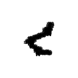 c1ccc(-c2nc(-c3cccc(-c4ccc5c(c4)-c4ccc(-c6cncc(-c7ccc8cc(-c9ccc%10ccccc%10c9)ccc8c7)c6)c6c4c-5cc4ccccc46)c3)nc(-c3ccc4c5c(cc6ccccc6c35)-c3ccc(-c5ccc6cc(-c7ccc8cc(-c9cncc(-c%10ccc%11c%12c(cc%13ccccc%13c%10%12)-c%10cc%12ccccc%12cc%10-%11)c9)ccc8c7)ccc6c5)cc3-4)n2)cc1